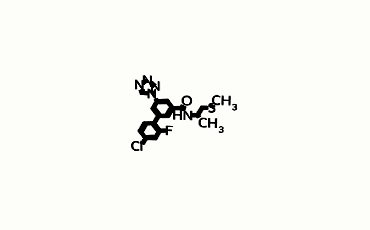 CSCC(C)NC(=O)c1cc(-c2ccc(Cl)cc2F)cc(-n2cnnn2)c1